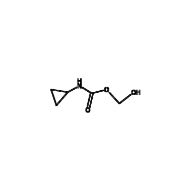 O=C(NC1CC1)OCO